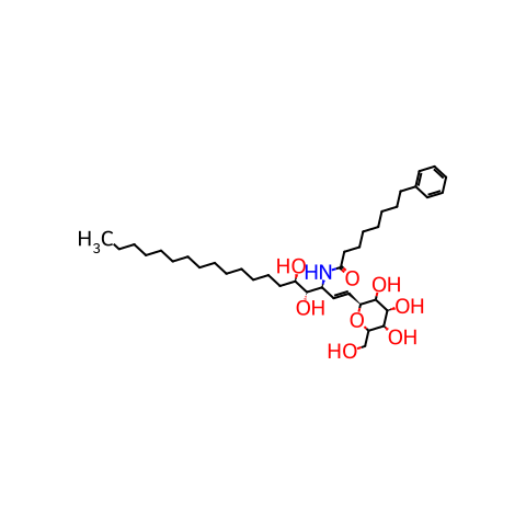 CCCCCCCCCCCCCC[C@@H](O)[C@@H](O)[C@H](/C=C/[C@@H]1OC(CO)[C@H](O)[C@H](O)C1O)NC(=O)CCCCCCCc1ccccc1